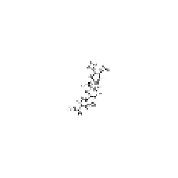 CCOc1cc(C2CCC2)c(C2CC2)cc1CN1CCC(n2ccc(C(=O)O)cc2=O)CC1